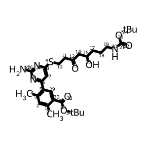 Cc1cc(C)c(-c2cc(SCCC(=O)CC(O)CCCNC(=O)OC(C)(C)C)nc(N)n2)cc1C(=O)OC(C)(C)C